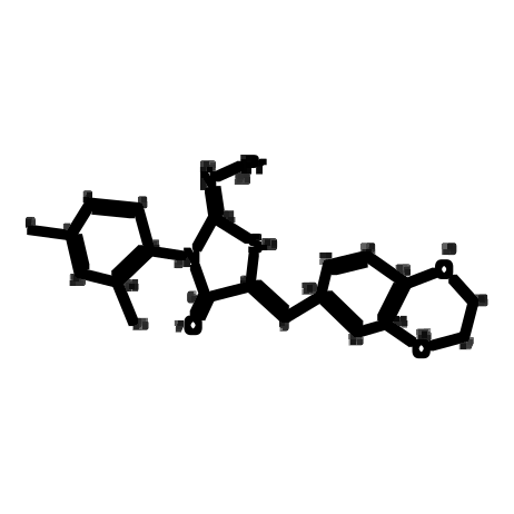 Cc1ccc(N2C(=O)/C(=C/c3ccc4c(c3)OCCO4)S/C2=N\C(C)C)c(C)c1